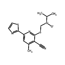 Cc1cc(-c2nccs2)nc(SC[S+]([O-])C(C)C)c1C#N